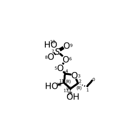 CC[C@H]1OC(OOS(=O)(=O)O)[C@H](O)[C@H]1O